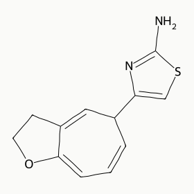 Nc1nc(C2C=CC=C3OCCC3=C2)cs1